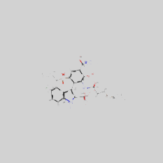 CCS(=O)(=O)c1cc(C(N)=O)c(O)c(NC(=O)CCSC)c1-c1c(C(=O)O)[nH]c2ccc(Cl)cc12